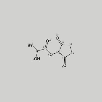 CC(C)C(O)C(=O)ON1C(=O)CCC1=O